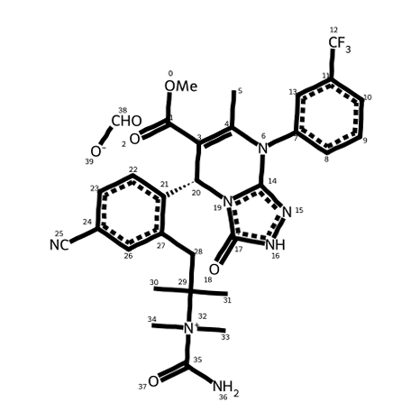 COC(=O)C1=C(C)N(c2cccc(C(F)(F)F)c2)c2n[nH]c(=O)n2[C@@H]1c1ccc(C#N)cc1CC(C)(C)[N+](C)(C)C(N)=O.O=C[O-]